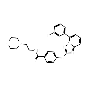 O=C(NCCN1CCOCC1)c1ccc(Nc2nc3cccc(-c4cccc(F)c4)n3n2)cc1